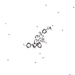 Cc1ccc(S(=O)(=O)[C@@H]2CCC3Cc4c(cnn4-c4ccc(F)cc4)C[C@]3(C(C)(O)c3ccccn3)C2)cc1